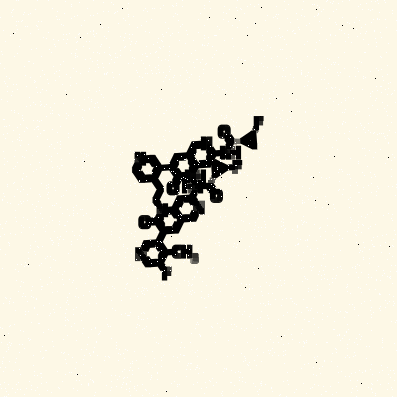 Cc1c(F)cncc1-c1cc2cnc(NC(=O)[C@@H]3C[C@H]3F)cc2n(CCc2ccncc2-c2cc3cnc(NC(=O)[C@H]4C[C@H]4F)cc3[nH]c2=O)c1=O